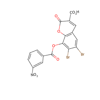 O=C(Oc1c(Br)c(Br)cc2cc(C(=O)O)c(=O)oc12)c1cccc([N+](=O)[O-])c1